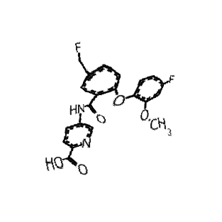 COc1cc(F)ccc1Oc1ccc(CF)cc1C(=O)Nc1ccc(C(=O)O)nc1